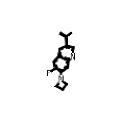 C=C(C)c1cnc2cc(N3CCC3)c(F)cc2c1